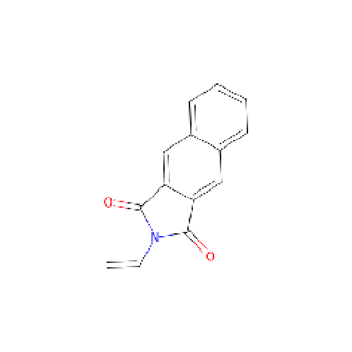 C=CN1C(=O)c2cc3ccccc3cc2C1=O